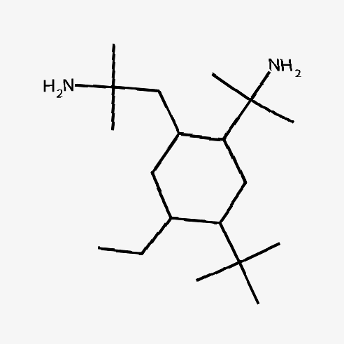 CCC1CC(CC(C)(C)N)C(C(C)(C)N)CC1C(C)(C)C